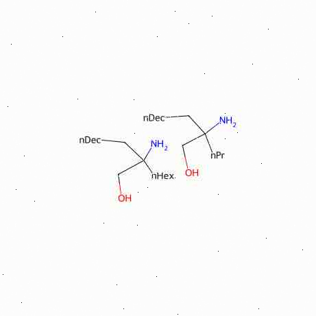 CCCCCCCCCCCC(N)(CO)CCC.CCCCCCCCCCCC(N)(CO)CCCCCC